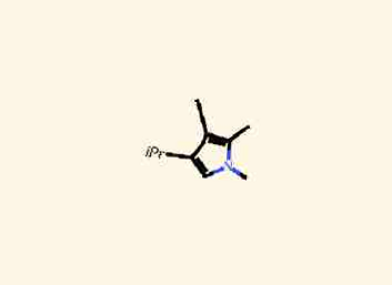 Cc1c(C(C)C)cn(C)c1C